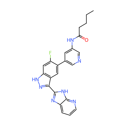 CCCCC(=O)Nc1cncc(-c2cc3c(-c4nc5cccnc5[nH]4)n[nH]c3cc2F)c1